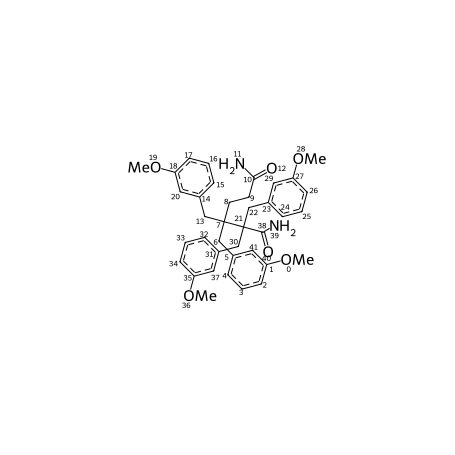 COc1cccc(CC(CCC(N)=O)(Cc2cccc(OC)c2)C(Cc2cccc(OC)c2)(Cc2cccc(OC)c2)C(N)=O)c1